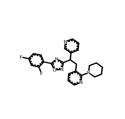 Fc1ccc(-c2nc(C(Cc3cccnc3N3CCCCC3)c3cccnc3)no2)c(F)c1